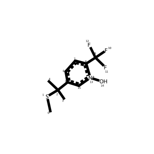 CSC(C)(C)c1ccc(C(F)(F)F)[n+](O)c1